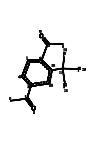 CC(=O)c1ccc(C(C)=O)c(C(F)(F)F)c1